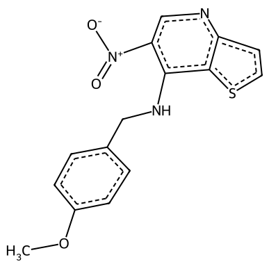 COc1ccc(CNc2c([N+](=O)[O-])cnc3ccsc23)cc1